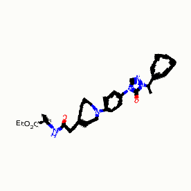 CCOC(=O)[C@@H](C)NC(=O)CC1CCN(c2ccc(-n3cnn(C(C)c4ccccc4)c3=O)cc2)CC1